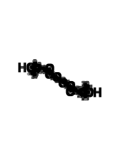 Cc1cc(CCC(=O)OCCOCCOCCOC(=O)CCc2cc(C)c(O)c(C(C)C)c2)cc(C(C)C)c1O